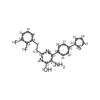 Nc1c(O)nc(SCc2cccc(F)c2F)nc1-c1ccc(-c2cccs2)cc1